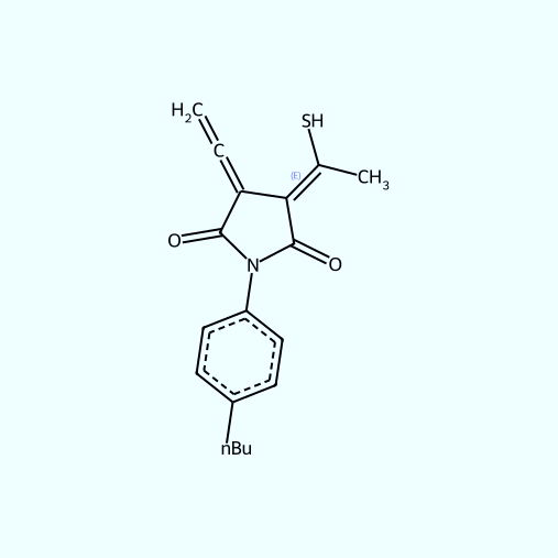 C=C=C1C(=O)N(c2ccc(CCCC)cc2)C(=O)/C1=C(\C)S